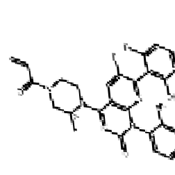 C=CC(=O)N1CCN(c2nc(=O)n(-c3ccccc3CCC)c3nc(-c4c(O)cccc4F)c(F)cc23)[C@@H](C)C1